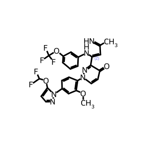 COc1cc(-n2nccc2OC(F)F)ccc1-n1ccc(=O)c(/C(=C/C(C)=N)Nc2cccc(OC(F)(F)F)c2)n1